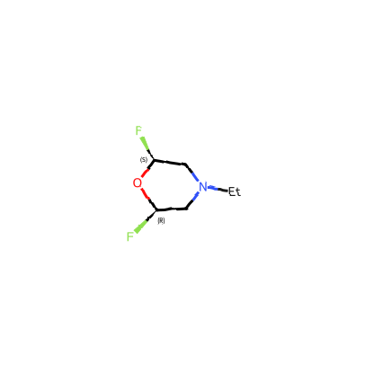 CCN1C[C@@H](F)O[C@@H](F)C1